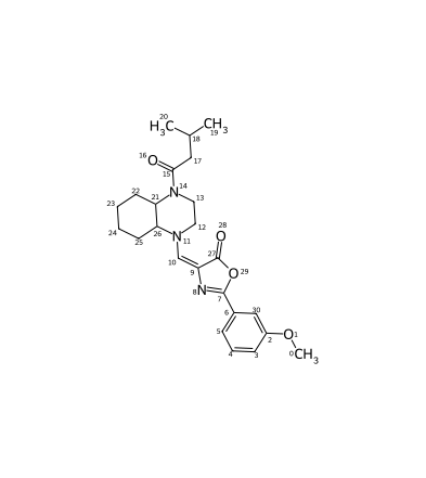 COc1cccc(C2=NC(=CN3CCN(C(=O)CC(C)C)C4CCCCC43)C(=O)O2)c1